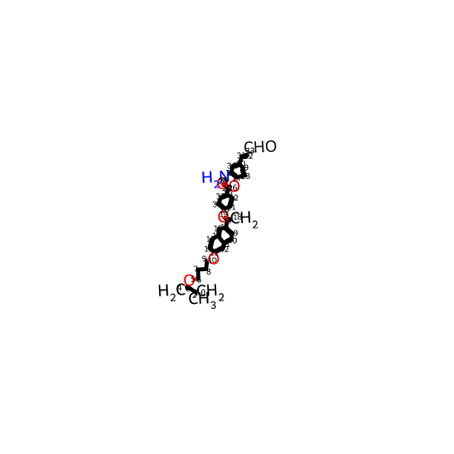 C=C(C)C(=C)OCCCCOc1ccc2cc(C(=C)Oc3ccc(C(=O)Oc4ccc(/C=C/C=O)cc4N)cc3)ccc2c1